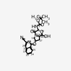 CC(C)(C)OC(=O)NCC(=O)N1C[C@H](Oc2nc(C#N)cc3ccccc23)CC1C(=O)O